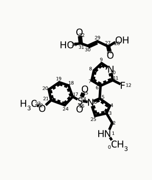 CNCc1cc(-c2cccnc2F)n(S(=O)(=O)c2cccc(OC)c2)c1.O=C(O)C=CC(=O)O